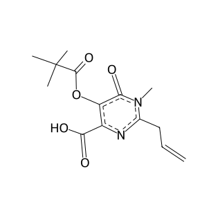 C=CCc1nc(C(=O)O)c(OC(=O)C(C)(C)C)c(=O)n1C